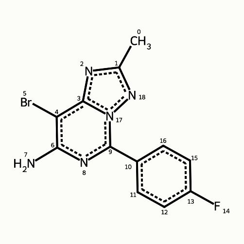 Cc1nc2c(Br)c(N)nc(-c3ccc(F)cc3)n2n1